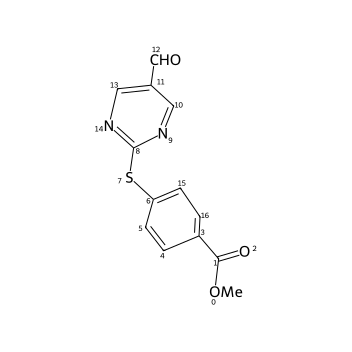 COC(=O)c1ccc(Sc2ncc(C=O)cn2)cc1